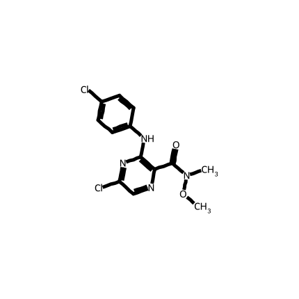 CON(C)C(=O)c1ncc(Cl)nc1Nc1ccc(Cl)cc1